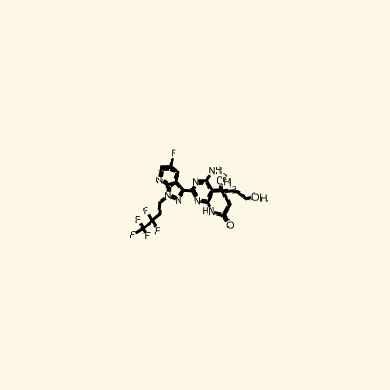 CC1(CCO)CC(=O)Nc2nc(-c3nn(CCC(F)(F)C(F)(F)F)c4ncc(F)cc34)nc(N)c21